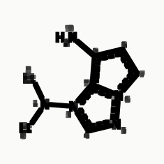 CCN(CC)n1cnn2ccc(N)c12